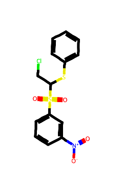 O=[N+]([O-])c1cccc(S(=O)(=O)C(CCl)Sc2ccccc2)c1